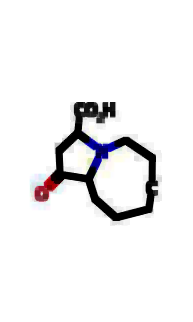 O=C(O)C1CC(=O)C2CCCCCCN12